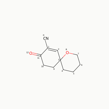 N#CC1=CC2(CCCCO2)CCC1=O